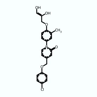 Cc1cc(-n2ccc(COc3ccc(Cl)cc3)cc2=O)ccc1OC/C(O)=C/O